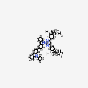 C[Si](C)(C)c1ccc(-c2cc(-c3ccc([Si](C)(C)C)cc3)nc(-n3c4ccccc4c4cc(-c5ccc6c7ccccc7n(-c7ccccc7)c6c5)ccc43)n2)cc1